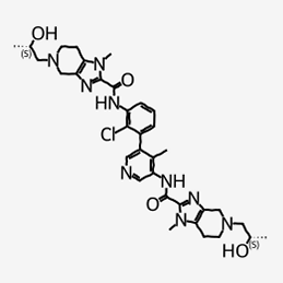 Cc1c(NC(=O)c2nc3c(n2C)CCN(C[C@H](C)O)C3)cncc1-c1cccc(NC(=O)c2nc3c(n2C)CCN(C[C@H](C)O)C3)c1Cl